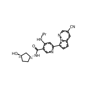 CC(C)Nc1cc(-c2ccc3cc(C#N)cnn23)ncc1C(=O)N[C@@H]1CC[C@@H](O)C1